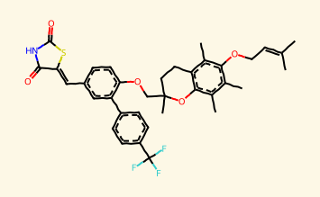 CC(C)=CCOc1c(C)c(C)c2c(c1C)CCC(C)(COc1ccc(/C=C3\SC(=O)NC3=O)cc1-c1ccc(C(F)(F)F)cc1)O2